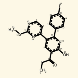 CCC(=O)c1cc(-c2ccnc(SC)n2)c(-c2ccc(F)cc2)nc1O